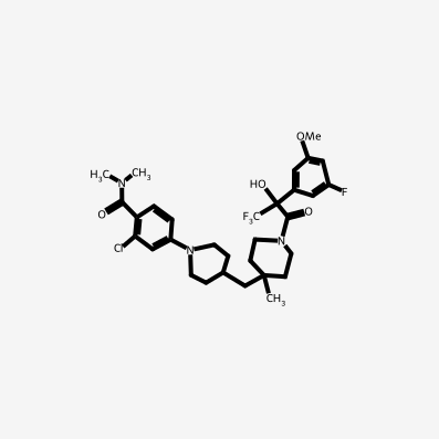 COc1cc(F)cc(C(O)(C(=O)N2CCC(C)(CC3CCN(c4ccc(C(=O)N(C)C)c(Cl)c4)CC3)CC2)C(F)(F)F)c1